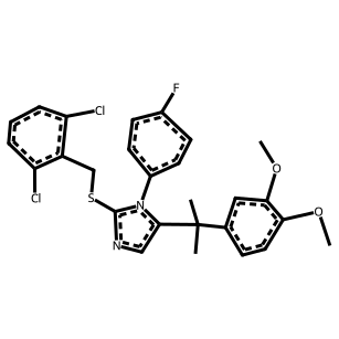 COc1ccc(C(C)(C)c2cnc(SCc3c(Cl)cccc3Cl)n2-c2ccc(F)cc2)cc1OC